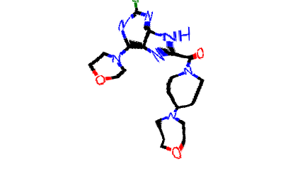 O=C(c1nc2c(N3CCOCC3)nc(Cl)nc2[nH]1)N1CCC(N2CCOCC2)CC1